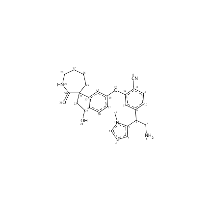 Cn1cncc1C(CN)c1ccc(C#N)c(Oc2cccc(C3(CCO)CCCCNC3=O)c2)c1